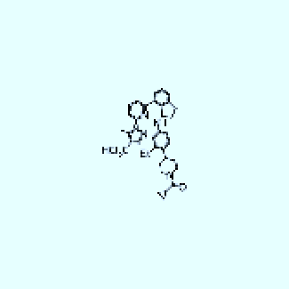 CCc1cc(NC2CCc3cccc(-c4cccc(-n5ncc(C(=O)O)c5C)n4)c32)ccc1C1CCN(C(=O)C2CC2)CC1